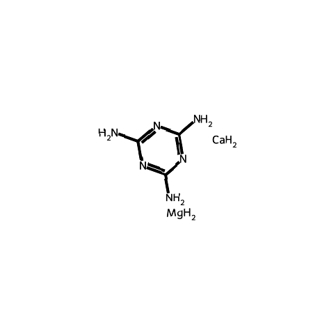 Nc1nc(N)nc(N)n1.[CaH2].[MgH2]